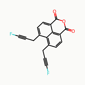 O=C1OC(=O)c2ccc(CC#CF)c3c(CC#CF)ccc1c23